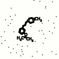 CC(C)Oc1cccc(CCCN2CCN(C)CC2)c1